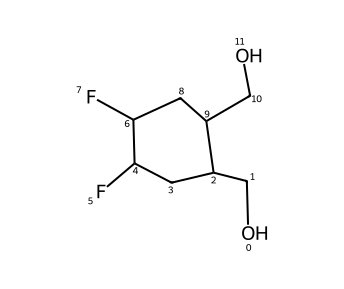 OCC1CC(F)C(F)CC1CO